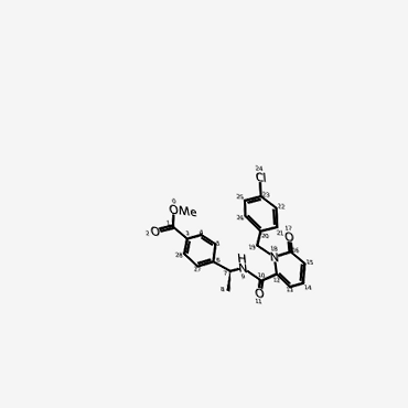 COC(=O)c1ccc([C@H](C)NC(=O)c2cccc(=O)n2Cc2ccc(Cl)cc2)cc1